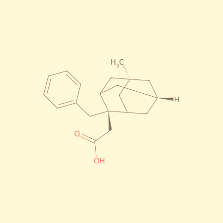 C[C@]12CC3C[C@H](CC(C1)[C@@]3(CC(=O)O)Cc1ccccc1)C2